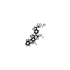 CC(C(=O)O)[C@@H]1COc2cc(N(C(=O)C(F)(F)F)C3COc4c(Nc5ccccc5N)cccc43)ccc21